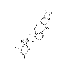 CCc1nc2c(C)cc(C)nc2n1Cc1ccc2c(c1)CCc1cc(C(=O)O)ccc1N2